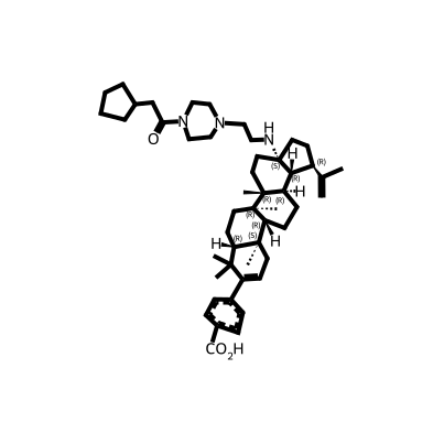 C=C(C)[C@@H]1CC[C@]2(NCCN3CCN(C(=O)CC4CCCC4)CC3)CC[C@]3(C)[C@H](CC[C@@H]4[C@@]5(C)CC=C(c6ccc(C(=O)O)cc6)C(C)(C)[C@@H]5CC[C@]43C)[C@@H]12